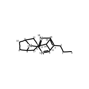 CCCc1cnc(N2C3CCC2CN(C(C)C)C3)nc1